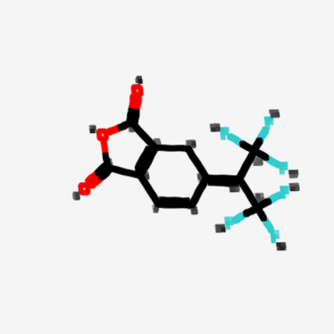 O=C1OC(=O)C2=C1C=CC(=C(C(F)(F)F)C(F)(F)F)C2